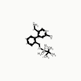 CC(C)(C)[Si](C)(C)OCc1ccccc1-c1cc(Cl)ncc1CN